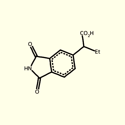 CCC(C(=O)O)c1ccc2c(c1)C(=O)NC2=O